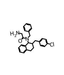 NCC(=O)N(Cc1ccccc1)C1c2ccccc2CCC1Cc1ccc(Cl)cc1